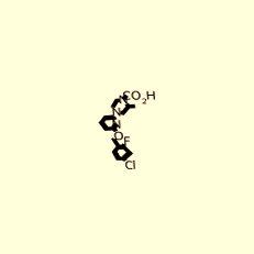 CC1CN(c2cccc(OCc3ccc(Cl)cc3F)n2)CCN1C(=O)O